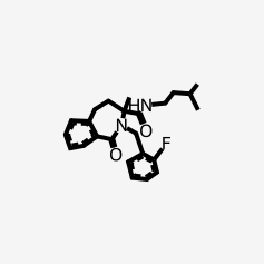 CC(C)CCNC(=O)C1(C)CCc2ccccc2C(=O)N1Cc1ccccc1F